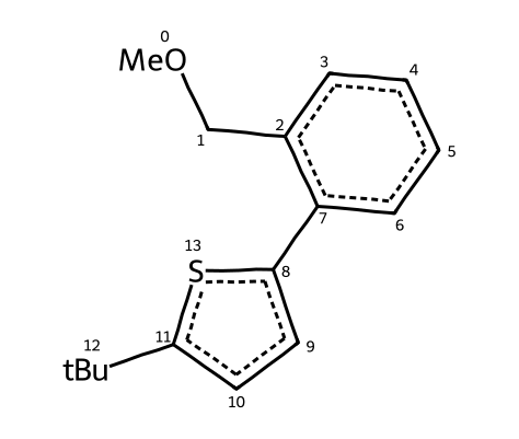 COCc1ccccc1-c1ccc(C(C)(C)C)s1